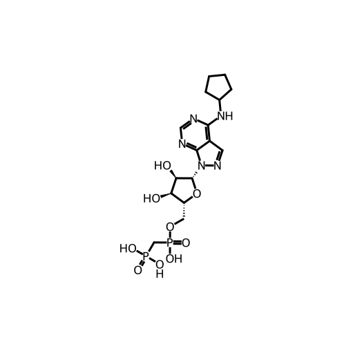 O=P(O)(O)CP(=O)(O)OC[C@H]1O[C@@H](n2ncc3c(NC4CCCC4)ncnc32)[C@H](O)[C@@H]1O